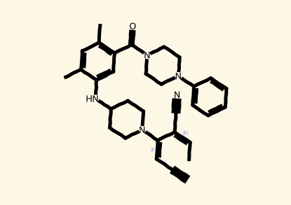 C#C/C=C(\C(C#N)=C/C)N1CCC(Nc2cc(C(=O)N3CCN(c4ccccc4)CC3)c(C)cc2C)CC1